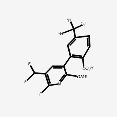 [2H]C([2H])([2H])c1ccc(C(=O)O)c(-c2cc(C(F)F)c(F)nc2OC)c1